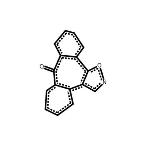 O=c1c2ccccc2c2cnoc2c2ccccc12